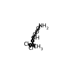 CN1Cc2c(Cl)cc(Cl)cc2C(c2ccc(SNCCOCCOCCOCCN)cc2)C1